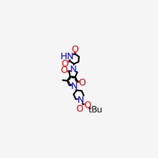 Cc1cn(C2CCN(C(=O)OC(C)(C)C)CC2)c(=O)c2c1C(=O)N(C1CCC(=O)NC1=O)C2